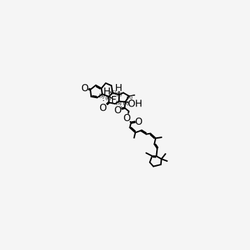 CC(C=CC1=C(C)CCCC1(C)C)=CC=CC(C)=CC(=O)OCC(=O)[C@@]1(O)[C@H](C)C[C@H]2[C@@H]3CCC4=CC(=O)C=C[C@]4(C)[C@@]3(F)C(=O)C[C@@]21C